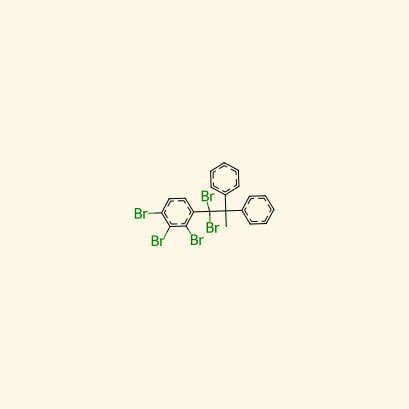 CC(c1ccccc1)(c1ccccc1)C(Br)(Br)c1ccc(Br)c(Br)c1Br